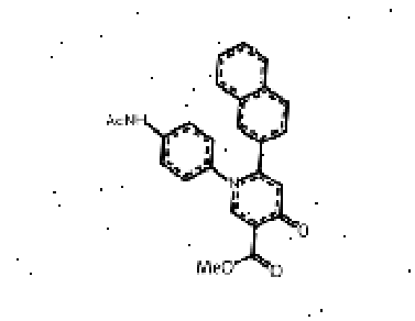 COC(=O)c1cn(-c2ccc(NC(C)=O)cc2)c(-c2ccc3ccccc3c2)cc1=O